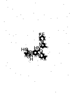 Cc1cc(NC(=O)c2ccc(NS(=O)(=O)C3(CO)CC3)cc2N2CCC3(CC2)CC3)nc(N2CCC(F)(F)CC2)c1